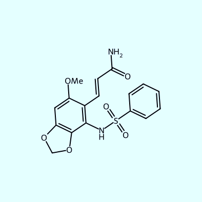 COc1cc2c(c(NS(=O)(=O)c3ccccc3)c1C=CC(N)=O)OCO2